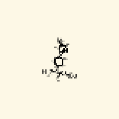 CN(C(=O)OC(C)(C)C)C1CCC(n2cc(I)cn2)CC1